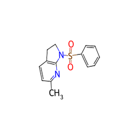 Cc1ccc2c(n1)N(S(=O)(=O)c1ccccc1)CC2